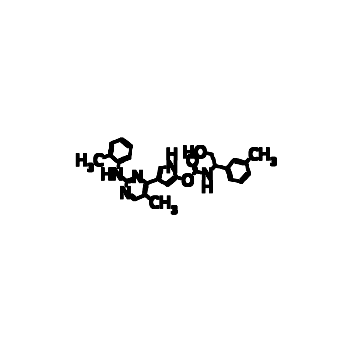 Cc1cccc(C(CO)NC(=O)Oc2cc(-c3nc(Nc4ccccc4C)ncc3C)c[nH]2)c1